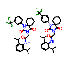 CC(C)c1cccc(C(C)C)c1NC(=O)CN1C(=O)N(c2ccc(C(F)(F)F)cc2)C2(CCCCC2)C1=O.CC(C)c1cccc(C(C)C)c1NC(=O)CN1C(=O)N(c2cccc(C(F)(F)F)c2)C2(CCCCC2)C1=O